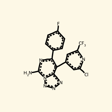 Nc1nc(-c2ccc(F)cc2)c(-c2cc(Cl)nc(C(F)(F)F)c2)c2nnnn12